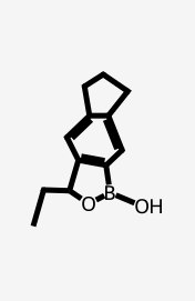 CCC1OB(O)c2cc3c(cc21)CCC3